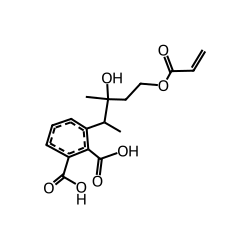 C=CC(=O)OCCC(C)(O)C(C)c1cccc(C(=O)O)c1C(=O)O